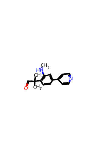 CNc1cc(-c2ccncc2)ccc1C(C)(C)C=O